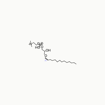 CCCCCCCCCCCC/C=C\OCC(O)COP(=O)(O)OCC[N+](C)(C)C